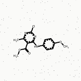 COC(=O)c1c(C)nc(Cl)nc1Nc1ccc(OC)cc1